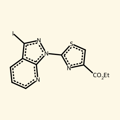 CCOC(=O)c1csc(-n2nc(I)c3cccnc32)n1